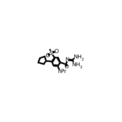 CCCc1cc(C2CCCC2)c(S(C)(=O)=O)cc1C(=O)N=C(N)N